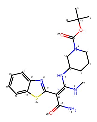 CN/C(NC1CCCN(C(=O)OC(C)(C)C)C1)=C(\C(N)=O)c1nc2ccccc2s1